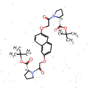 CC(C)(C)OC(=O)[C@H]1CCCN1C(=O)COc1ccc2cc(OCC(=O)N3CCC[C@@H]3C(=O)OC(C)(C)C)ccc2c1